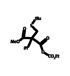 CCOC(=O)OC(=O)C(CSC(C)(C)C)(C(=O)OC)C(C)C